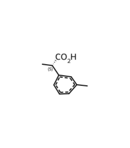 Cc1cccc([C@H](C)C(=O)O)c1